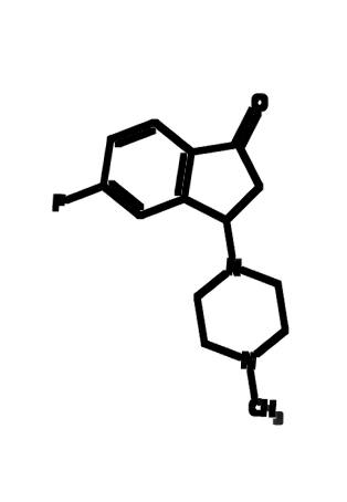 CN1CCN(C2CC(=O)c3ccc(F)cc32)CC1